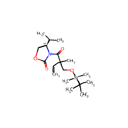 C=CC(C)(CO[Si](C)(C)C(C)(C)C)C(=O)N1C(=O)OC[C@H]1C(C)C